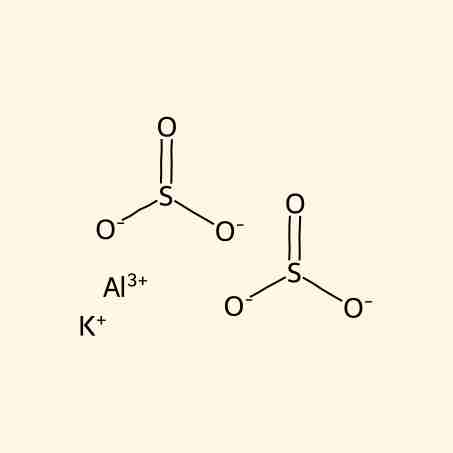 O=S([O-])[O-].O=S([O-])[O-].[Al+3].[K+]